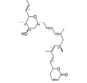 C/C=C/C1O[C@H](C/C=C/C=C(\C)C[C@@H](C)/C=C(C)\C=C\C2CC=CC(=O)O2)C[C@@H](O)[C@@H]1C